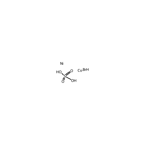 Br.O=S(=O)(O)O.[Co].[Ni]